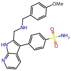 COc1ccc(CNCc2[nH]c3ncccc3c2-c2ccc(S(N)(=O)=O)cc2)cc1